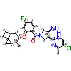 CC1=N/C(=C2\CN(C(=O)c3ccc(F)cc3O[C@H]3CC4CCC45CC5C3F)CC2=N)NC=C1Cl